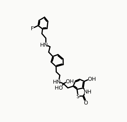 O=c1[nH]c2c(O)ccc(CC(O)(O)NCCc3cccc(CCNCCc4ccccc4F)c3)c2s1